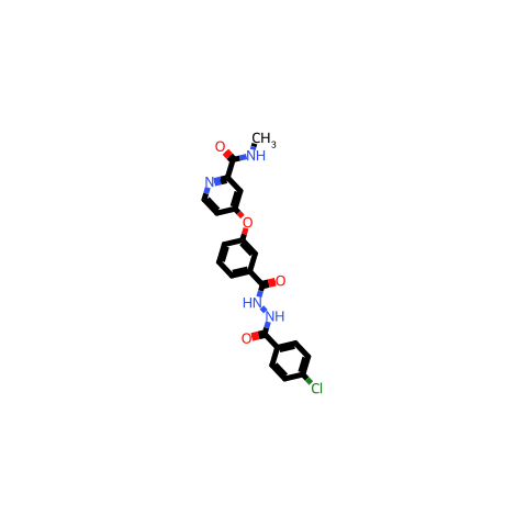 CNC(=O)c1cc(Oc2cccc(C(=O)NNC(=O)c3ccc(Cl)cc3)c2)ccn1